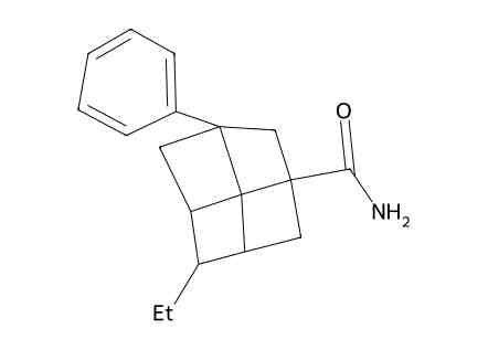 CCC1C2CC3(C(N)=O)CC4(c5ccccc5)CC1C234